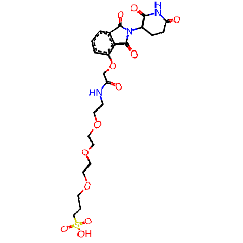 O=C(COc1cccc2c1C(=O)N(C1CCC(=O)NC1=O)C2=O)NCCOCCOCCOCCCS(=O)(=O)O